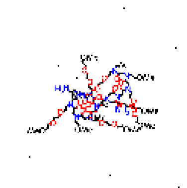 COCCOCCOCCN(CC(C)=O)C(=O)CN(CCOC)C(=O)CN(CCOCCOCCOC)C(=O)CN(CCN)C(=O)CN(CCOCCOCCOC)C(=O)CN(CCOC)C(=O)CN(CCOCCOCCOC)C(=O)CN(CCN)C(=O)CN(CCOCCOCCOC)C(=O)CN(CCOC)C(=O)CN(CCOCCOCCOC)C(=O)CN(CCN)C(C)=O